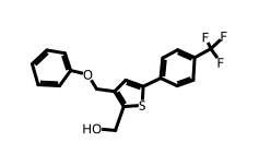 OCc1sc(-c2ccc(C(F)(F)F)cc2)cc1COc1ccccc1